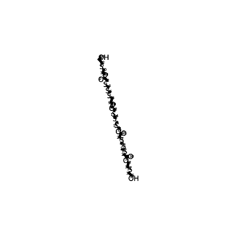 O=C(CSCSCSCCOOCSCSCSCOC(=O)CSCSCSCC(=O)OCCSCCO)OCCSCCO